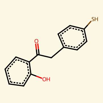 O=C(Cc1ccc(S)cc1)c1ccccc1O